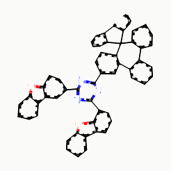 c1ccc2c(c1)-c1ccccc1C1(c3ccc(-c4nc(-c5ccc6oc7ccccc7c6c5)nc(-c5cccc6c5oc5ccccc56)n4)cc3-2)c2ccccc2-c2ccccc21